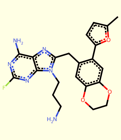 Cc1ccc(-c2cc3c(cc2Cc2nc4c(N)nc(F)nc4n2CCCN)OCCO3)o1